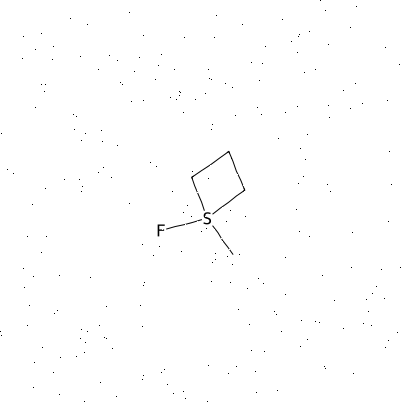 CS1(F)CCC1